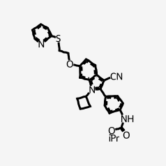 CC(C)OC(=O)Nc1ccc(-c2c(C#N)c3ccc(OCCSc4ccccn4)cc3n2C2CCC2)cc1